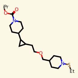 CCSN1CCC(COCCC2CC2C2CCN(C(=O)OC(C)C)CC2)CC1